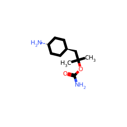 CC(C)(C[C@H]1CC[C@H](N)CC1)OC(N)=O